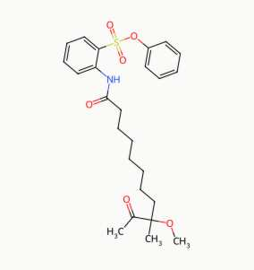 COC(C)(CCCCCCCC(=O)Nc1ccccc1S(=O)(=O)Oc1ccccc1)C(C)=O